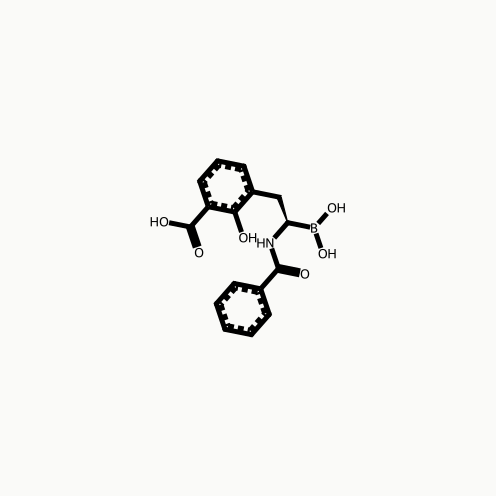 O=C(N[C@@H](Cc1cccc(C(=O)O)c1O)B(O)O)c1ccccc1